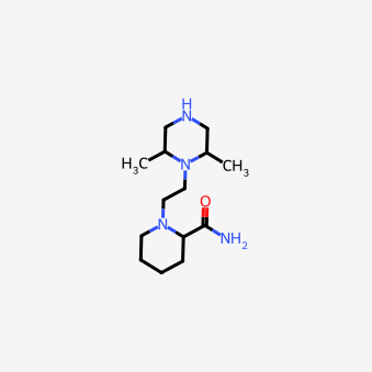 CC1CNCC(C)N1CCN1CCCCC1C(N)=O